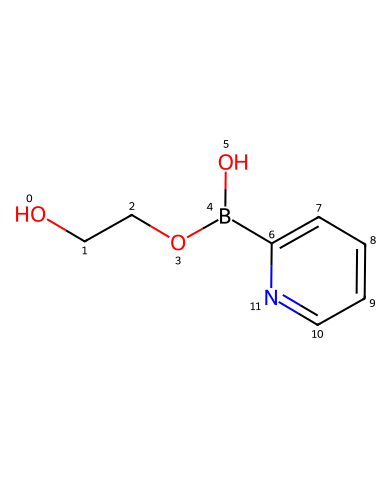 OCCOB(O)c1ccccn1